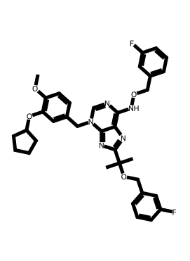 COc1ccc(Cn2cnc(NOCc3cccc(F)c3)c3nc(C(C)(C)OCc4cccc(F)c4)nc2-3)cc1OC1CCCC1